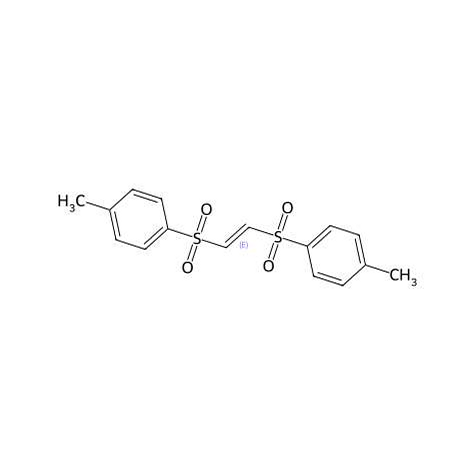 Cc1ccc(S(=O)(=O)/C=C/S(=O)(=O)c2ccc(C)cc2)cc1